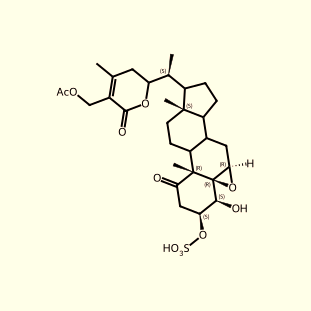 CC(=O)OCC1=C(C)CC([C@@H](C)C2CCC3C4C[C@H]5O[C@]56[C@@H](O)[C@@H](OS(=O)(=O)O)CC(=O)[C@]6(C)C4CC[C@@]32C)OC1=O